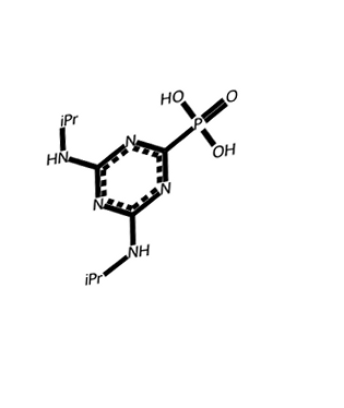 CC(C)Nc1nc(NC(C)C)nc(P(=O)(O)O)n1